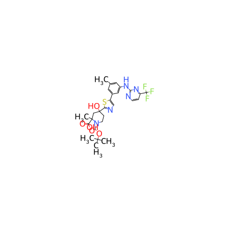 Cc1cc(Nc2nccc(C(F)(F)F)n2)cc(-c2cnc(C3(O)CCN(C(=O)OC(C)(C)C)C(C)(C(=O)O)C3)s2)c1